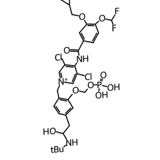 CC(C)(C)NC(O)Cc1ccc(C[n+]2cc(Cl)c(NC(=O)c3ccc(OC(F)F)c(OCC4CC4)c3)c(Cl)c2)c(OCOP(=O)(O)O)c1